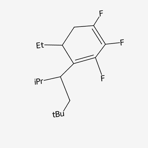 CCC1CC(F)=C(F)C(F)=C1C(CC(C)(C)C)C(C)C